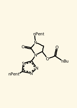 CCCCCc1nnc(N2C(=O)N(CCCCC)CC2OC(=O)CCCC)s1